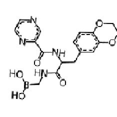 O=C(NC(Cc1ccc2c(c1)OCCO2)C(=O)NCB(O)O)c1cnccn1